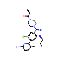 C=CC(=O)N1CCN(C(=N)c2cc(Cl)c(-c3nc(N)ccc3C)cc2/N=C\CC)CC1